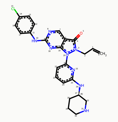 C=CCn1c(=O)c2cnc(Nc3ccc(Cl)cc3)nc2n1-c1cccc(N[C@@H]2CCCNC2)n1